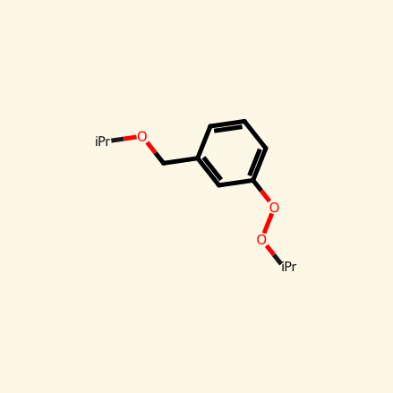 CC(C)OCc1cccc(OOC(C)C)c1